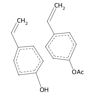 C=Cc1ccc(O)cc1.C=Cc1ccc(OC(C)=O)cc1